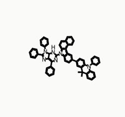 CC1(C)c2ccccc2N(c2ccccc2)c2ccc(-c3ccc4c(c3)c3c5ccccc5ccc3n4C3=NC(c4ccccc4)=C4N=C(c5ccccc5)N(c5ccccc5)C4N3)cc21